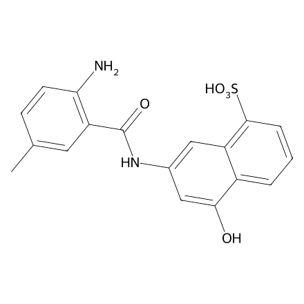 Cc1ccc(N)c(C(=O)Nc2cc(O)c3cccc(S(=O)(=O)O)c3c2)c1